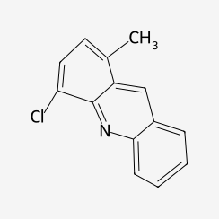 Cc1ccc(Cl)c2nc3ccccc3cc12